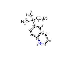 CCOC(=O)C(C)(C)c1ccc2ncccc2c1